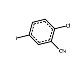 N#Cc1cc(I)ccc1Cl